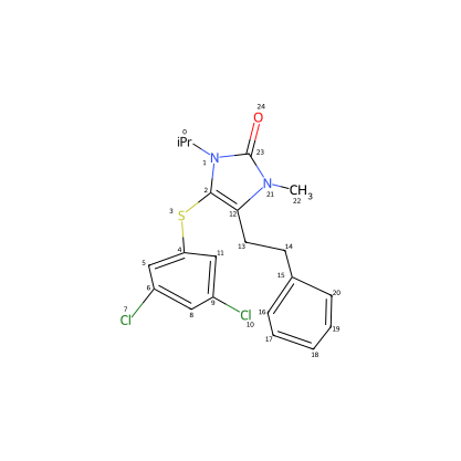 CC(C)n1c(Sc2cc(Cl)cc(Cl)c2)c(CCc2ccccc2)n(C)c1=O